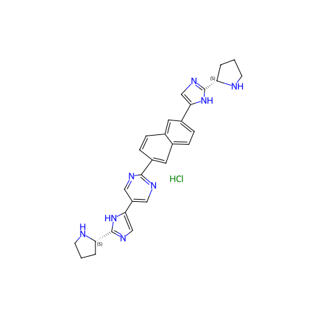 Cl.c1cc2cc(-c3cnc([C@@H]4CCCN4)[nH]3)ccc2cc1-c1ncc(-c2cnc([C@@H]3CCCN3)[nH]2)cn1